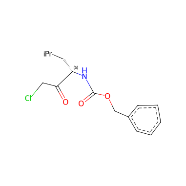 CC(C)C[C@H](NC(=O)OCc1ccccc1)C(=O)CCl